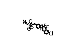 CN(C)CCN1C(=O)S/C(=C\c2ccc3c(ccn3Cc3ccc(Cl)cc3C(F)(F)F)c2)C1=O